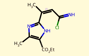 CCOC(=O)c1[nH]c(/C(C)=C\C(=N)Cl)nc1C